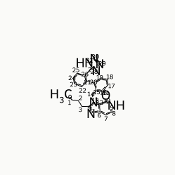 CCCCc1nc2cc[nH]c(=O)c2n1Cc1ccccc1-c1ccccc1-c1nnn[nH]1